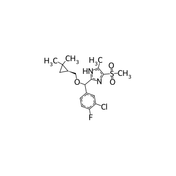 Cc1[nH]c(C(OC[C@H]2CC2(C)C)c2ccc(F)c(Cl)c2)nc1S(C)(=O)=O